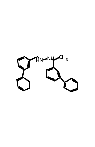 CC(NNCc1cccc(C2=CC=CCC2)c1)c1cccc(-c2ccccc2)c1